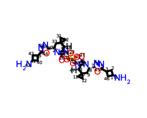 NC1CC(c2nnc([C@@H]3CC4(CC4)[C@@H]4CN3C(=O)N4OS(=O)(=O)ON3C(=O)N4C[C@H]3C3(CC3)C[C@H]4c3nnc(C4CC(N)C4)o3)o2)C1